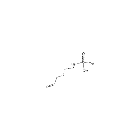 O=CCCCCPP(=O)(O)O